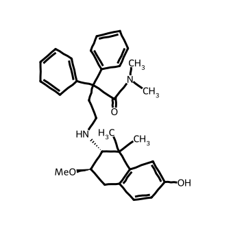 CO[C@@H]1Cc2ccc(O)cc2C(C)(C)[C@H]1NCCC(C(=O)N(C)C)(c1ccccc1)c1ccccc1